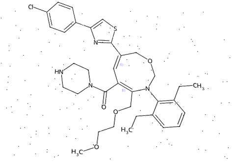 CCc1cccc(CC)c1N1COC/C(c2nc(-c3ccc(Cl)cc3)cs2)=C\C(C(=O)N2CCNCC2)=C/1COCCOC